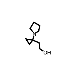 OCCC1(N2CCCC2)CC1